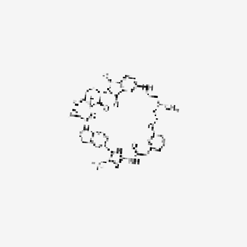 Cc1sc(NC(=O)Cc2cccc(OCCC(C)CCNc3ccc4c(c3)C(=O)N(C3CCC(=O)NC3=O)C4=O)c2)nc1-c1ccc2c(c1)CCN2C(=O)C1CC1